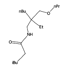 CCCCC(CC)(CNC(=O)CC(C)CC)COCCC